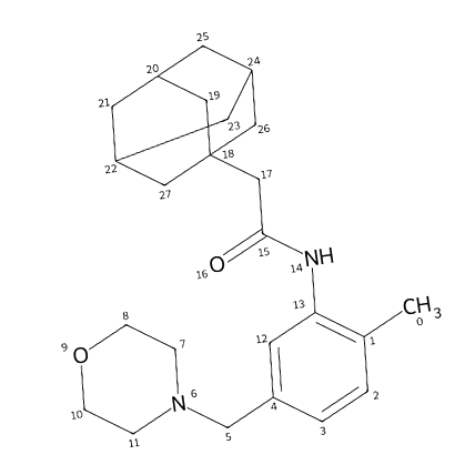 Cc1ccc(CN2CCOCC2)cc1NC(=O)CC12CC3CC(CC(C3)C1)C2